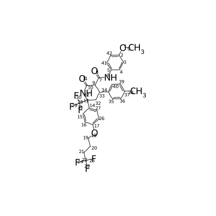 COc1ccc(NC(=O)C2C(=O)NC(c3ccc(OCCCC(F)(F)F)cc3)(C(F)(F)F)CC2c2ccc(C)cc2)cc1